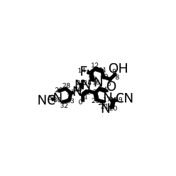 Cc1c(-c2cc(OC(CO)c3ccc(F)cn3)n3c(C#N)cnc3c2)nnn1C1CCN(C#N)CC1